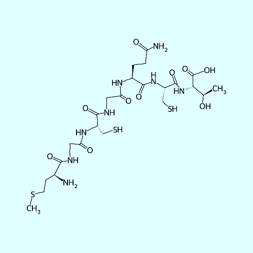 CSCC[C@H](N)C(=O)NCC(=O)N[C@@H](CS)C(=O)NCC(=O)N[C@@H](CCC(N)=O)C(=O)N[C@@H](CS)C(=O)N[C@H](C(=O)O)[C@@H](C)O